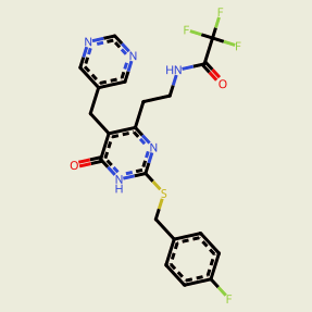 O=C(NCCc1nc(SCc2ccc(F)cc2)[nH]c(=O)c1Cc1cncnc1)C(F)(F)F